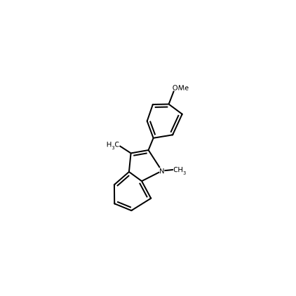 COc1ccc(-c2c(C)c3ccccc3n2C)cc1